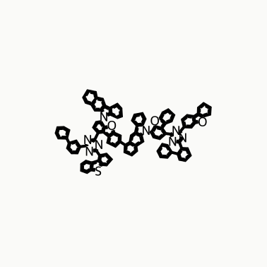 c1ccc(-c2cccc(-c3nc(-c4cccc5sc6ccccc6c45)nc(-c4ccc(-n5c6ccccc6c6cc7ccccc7cc65)c5oc6cc(-c7cccc8cc9c(cc78)c7ccccc7n9-c7ccc(-c8nc(-c9ccc%10c(c9)oc9ccccc9%10)nc(-c9ccccc9-c9ccccc9)n8)c8c7oc7ccccc78)ccc6c45)n3)c2)cc1